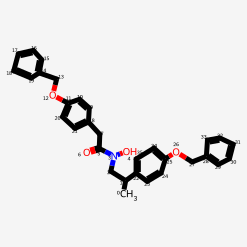 CC(CN(O)C(=O)Cc1ccc(OCc2ccccc2)cc1)c1ccc(OCc2ccccc2)cc1